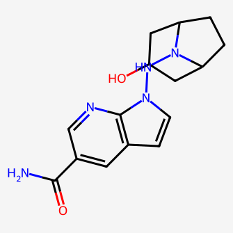 NC(=O)c1cnc2c(ccn2NN2C3CCC2CC(O)C3)c1